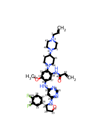 C=CCN1CCN(C2CCN(c3cc(OC)c(Nc4cc(N5OCC[C@@H]5c5ccc(F)c(F)c5)ncn4)cc3NC(=O)C=C)CC2)CC1